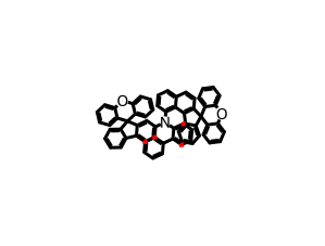 c1ccc(-c2ccccc2N(c2ccc3c(c2)C2(c4ccccc4Oc4ccccc42)c2ccccc2-3)c2cccc3ccc4c(c23)-c2ccccc2C42c3ccccc3Oc3ccccc32)cc1